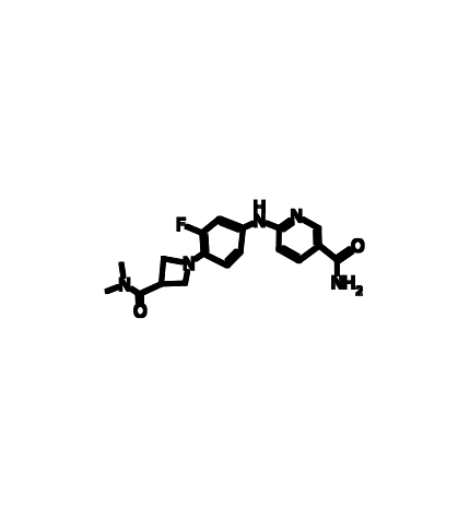 CN(C)C(=O)C1CN(c2ccc(Nc3ccc(C(N)=O)cn3)cc2F)C1